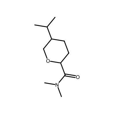 CC(C)C1CCC(C(=O)N(C)C)OC1